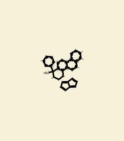 C1=CC2=CC=CC2=C1.CCCCC1(c2ccccc2)CCCc2c1ccc1c2ccc2ccccc21